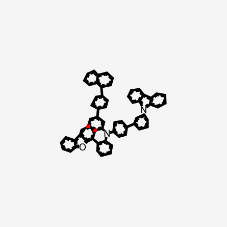 c1cc(-c2ccc(-c3cccc4ccccc34)cc2)cc(N(c2ccc(-c3cccc(-n4c5ccccc5c5ccccc54)c3)cc2)c2ccccc2-c2cccc3c2oc2ccccc23)c1